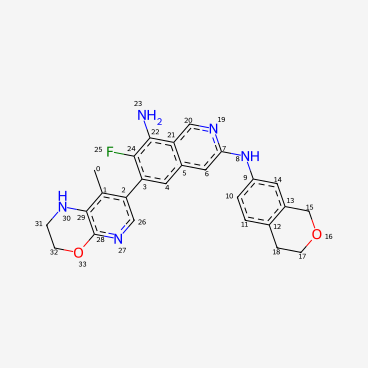 Cc1c(-c2cc3cc(Nc4ccc5c(c4)COCC5)ncc3c(N)c2F)cnc2c1NCCO2